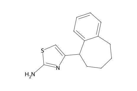 Nc1nc(C2CCCCc3ccccc32)cs1